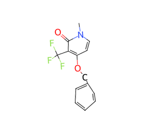 Cn1ccc(OCc2ccccc2)c(C(F)(F)F)c1=O